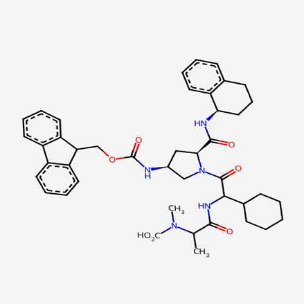 CC(C(=O)NC(C(=O)N1C[C@@H](NC(=O)OCC2c3ccccc3-c3ccccc32)C[C@H]1C(=O)N[C@@H]1CCCc2ccccc21)C1CCCCC1)N(C)C(=O)O